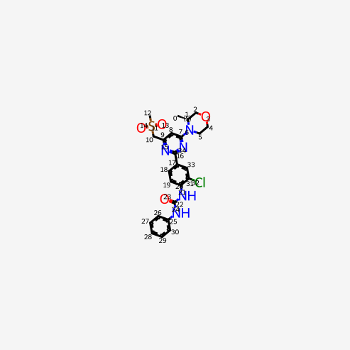 C[C@H]1COCCN1c1cc(CS(C)(=O)=O)nc(-c2ccc(NC(=O)Nc3ccccc3)c(Cl)c2)n1